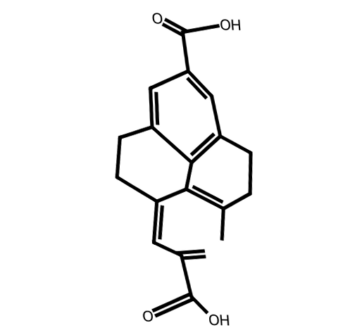 C=C(/C=C1/CCc2cc(C(=O)O)cc3c2C1=C(C)CC3)C(=O)O